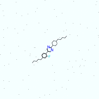 CCCCCc1ccc(-c2cnc(C3CCC(CCCCC)CC3)nc2)c(F)c1